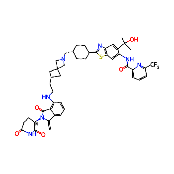 C=C1c2cccc(NCCC3CC4(C3)CN(C[C@H]3CC[C@H](c5nc6cc(C(C)(C)O)c(NC(=O)c7cccc(C(F)(F)F)n7)cc6s5)CC3)C4)c2C(=O)N1[C@@H]1CCC(=O)NC1=O